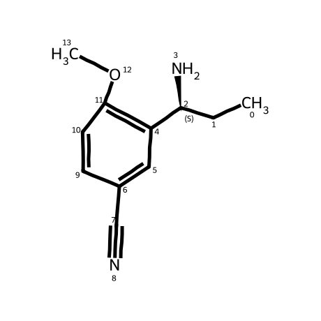 CC[C@H](N)c1cc(C#N)ccc1OC